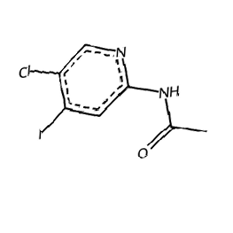 CC(=O)Nc1cc(I)c(Cl)cn1